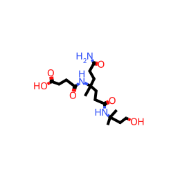 CC(C)(CCO)NC(=O)CCC(C)(CCC(N)=O)NC(=O)CCC(=O)O